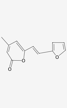 Cc1cc(C=Cc2ccco2)oc(=O)c1